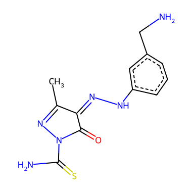 CC1=NN(C(N)=S)C(=O)C1=NNc1cccc(CN)c1